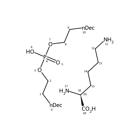 CCCCCCCCCCCCOP(=O)(O)OCCCCCCCCCCCC.NCCCC[C@H](N)C(=O)O